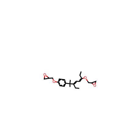 CC/C(=C\C=C(/CC)C(C)(C)c1ccc(OCC2CO2)cc1)OCC1CO1